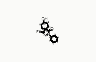 CCC1=NN(c2ccccc2)C(=O)C12CCC(O)CC2